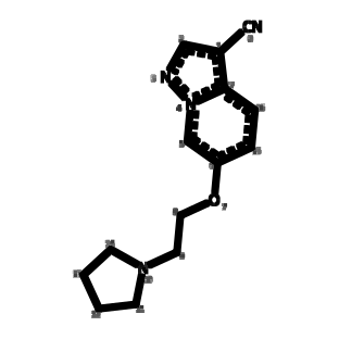 N#Cc1cnn2cc(OCCN3CCCC3)ccc12